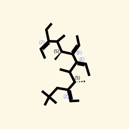 C/C=C(/CC)C(C)[C@H](C)C(=C\C)/C(=C/C)C(C)[C@H](C)/C(=C\C)CC(C)(C)C